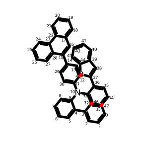 c1ccc(-c2ccccc2N(c2ccc(-c3cc4ccccc4c4ccccc34)cc2)c2ccccc2-c2cc3ccccc3o2)cc1